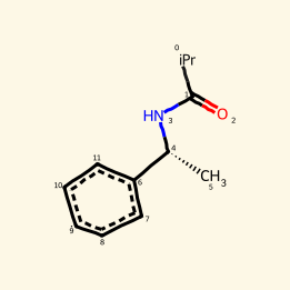 CC(C)C(=O)N[C@H](C)c1cc[c]cc1